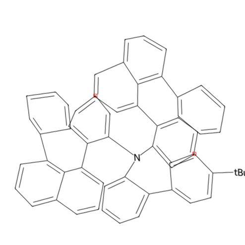 CC(C)(C)c1ccc(-c2ccccc2N(c2ccccc2-c2cccc3cccc(-c4ccccc4)c23)c2ccccc2-c2cccc3cccc(-c4ccccc4)c23)cc1